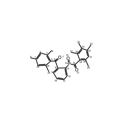 Cc1cc(C)c(C(=O)c2ccccc2[P](=O)C(=O)c2c(C)cc(C)c(C)c2C)c(C)c1